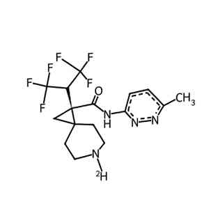 [2H]N1CCC2(CC1)C[C@@]2(C(=O)Nc1ccc(C)nn1)C(C(F)(F)F)C(F)(F)F